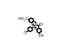 CCC(c1ccc(C#N)cc1)N(Cc1ccc(C(=O)O)cc1)S(=O)(=O)c1ccc(Cl)cc1